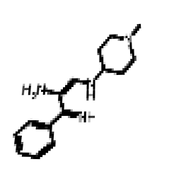 CN1CCC(N/C=C(/N)C(=N)c2ccccc2)CC1